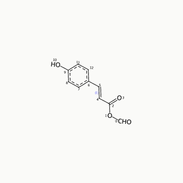 O=COC(=O)/C=C/c1ccc(O)cc1